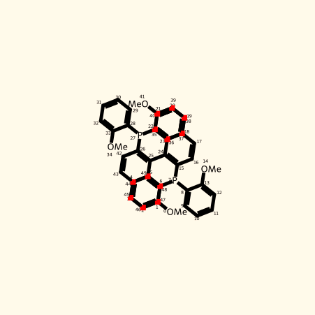 COc1ccccc1P(c1ccccc1OC)c1ccc2ccccc2c1-c1c(P(c2ccccc2OC)c2ccccc2OC)ccc2ccccc12